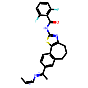 C/C=C\N=C(/C)c1ccc2c(c1)CCCc1nc(NC(=O)c3c(F)cccc3F)sc1-2